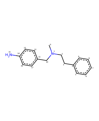 CN(CCc1ccccc1)Cc1ccc(N)cc1